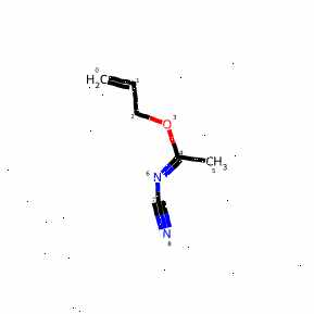 C=CCOC(C)=NC#N